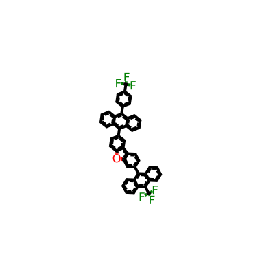 FC(F)(F)c1ccc(-c2c3ccccc3c(-c3ccc4oc5cc(-c6c7ccccc7c(C(F)(F)F)c7ccccc67)ccc5c4c3)c3ccccc23)cc1